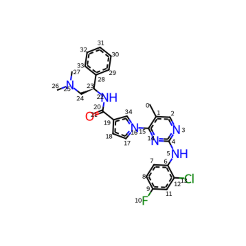 Cc1cnc(Nc2ccc(F)cc2Cl)nc1-n1ccc(C(=O)N[C@@H](CN(C)C)c2ccccc2)c1